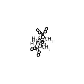 CC1=CC(N(c2ccc3ccccc3c2)c2ccc3ccccc3c2)=CC2C1c1ccc3c(c1C2(C)C)C(C)(C)C1C=C(N(c2ccc4ccccc4c2)c2ccc4ccccc4c2)C=C(C)C31